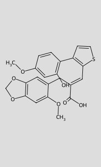 COc1ccc(-c2ccsc2/C=C(\Cc2cc3c(cc2OC)OCO3)C(=O)O)c(O)c1